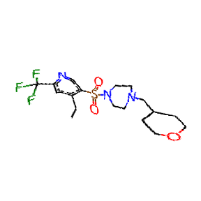 CCc1cc(C(F)(F)F)ncc1S(=O)(=O)N1CCN(CC2CCOCC2)CC1